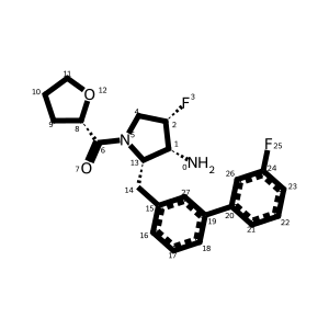 N[C@H]1[C@@H](F)CN(C(=O)[C@@H]2CCCO2)[C@H]1Cc1cccc(-c2cccc(F)c2)c1